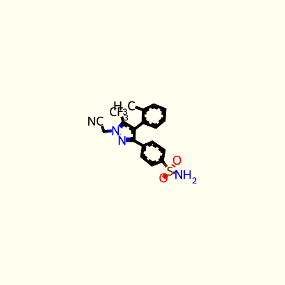 Cc1ccccc1-c1c(-c2ccc(S(N)(=O)=O)cc2)nn(CC#N)c1C(F)(F)F